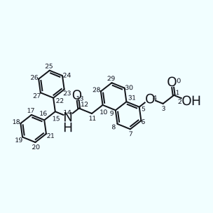 O=C(O)COc1cccc2c(CC(=O)NC(c3ccccc3)c3ccccc3)cccc12